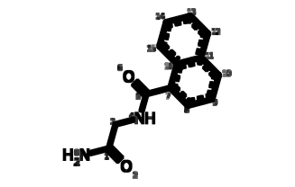 NC(=O)CNC(=O)c1cccc2ccccc12